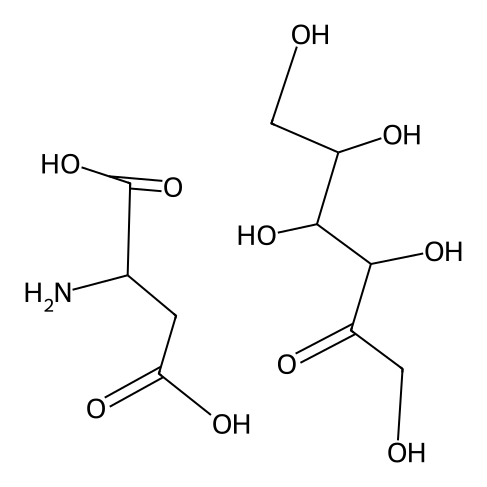 NC(CC(=O)O)C(=O)O.O=C(CO)C(O)C(O)C(O)CO